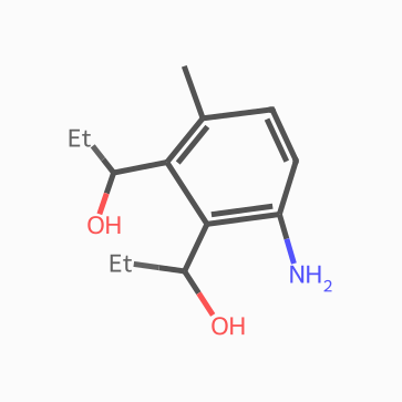 CCC(O)c1c(C)ccc(N)c1C(O)CC